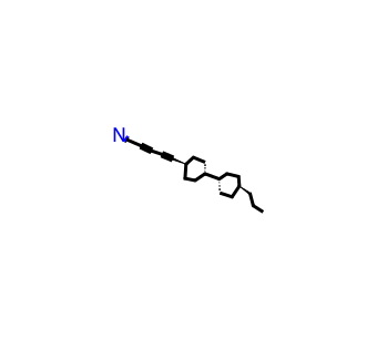 CCC[C@H]1CC[C@H]([C@H]2CC[C@H](C#CC#CC#N)CC2)CC1